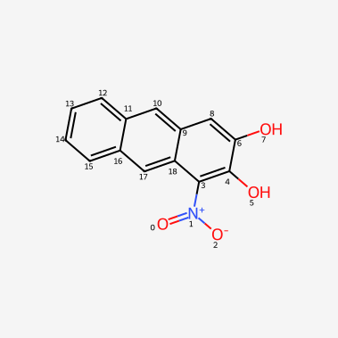 O=[N+]([O-])c1c(O)c(O)cc2cc3ccccc3cc12